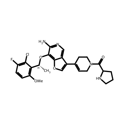 COc1ccc(F)c(Cl)c1[C@@H](C)Oc1c(N)ncc2c(C3=CCN(C(=O)C4CCCN4)CC3)coc12